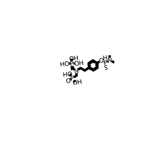 CN(C)[PH](=S)Oc1ccc(CCN(CP(=O)(O)O)C[PH](O)(O)O)cc1